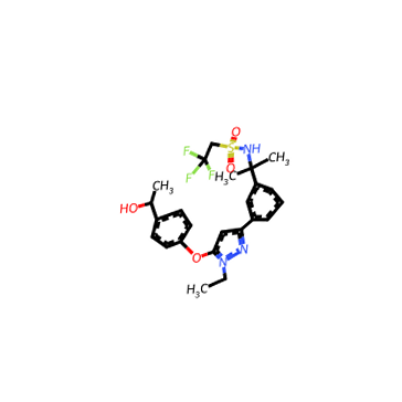 CCn1nc(-c2cccc(C(C)(C)NS(=O)(=O)CC(F)(F)F)c2)cc1Oc1ccc(C(C)O)cc1